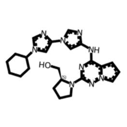 OC[C@@H]1CCCN1c1nc(Nc2cn(-c3cn(C4CCCCC4)cn3)cn2)c2cccn2n1